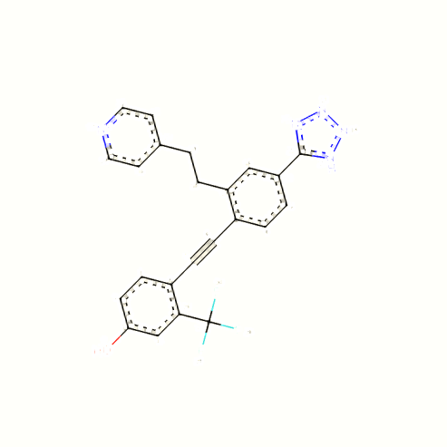 Oc1ccc(C#Cc2ccc(-c3nnn[nH]3)cc2CCc2ccncc2)c(C(F)(F)F)c1